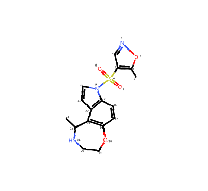 Cc1oncc1S(=O)(=O)n1ccc2c3c(ccc21)OCCNC3C